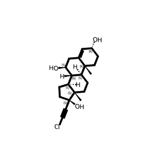 C[C@]12CC[C@@H](O)C=C1C[C@H](O)[C@@H]1[C@@H]2CC[C@@]2(C)[C@H]1CC[C@@]2(O)C#CCl